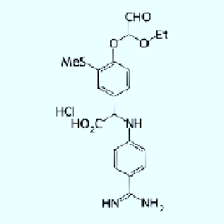 CCOC(C=O)Oc1ccc(C(Nc2ccc(C(=N)N)cc2)C(=O)O)cc1SC.Cl